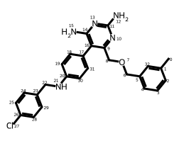 Cc1cccc(COCc2nc(N)nc(N)c2-c2ccc(NCc3ccc(Cl)cc3)cc2)c1